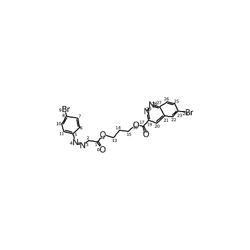 O=C(C/N=N\c1ccc(Br)cc1)OCCCOC(=O)c1cc2cc(Br)ccc2nn1